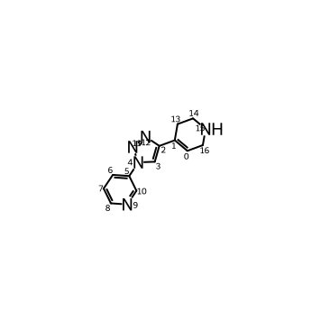 C1=C(c2cn(-c3cccnc3)nn2)CCNC1